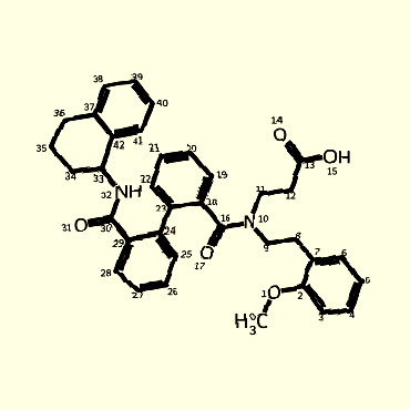 COc1ccccc1CCN(CCC(=O)O)C(=O)c1ccccc1-c1ccccc1C(=O)NC1CCCc2ccccc21